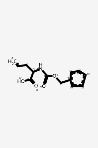 C=CCC(NC(=O)OCc1ccccc1)C(=O)O